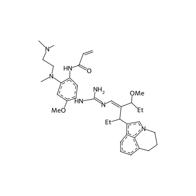 C=CC(=O)Nc1cc(N/C(N)=N/C=C(/C(CC)OC)C(CC)c2cn3c4c(cccc24)CCC3)c(OC)cc1N(C)CCN(C)C